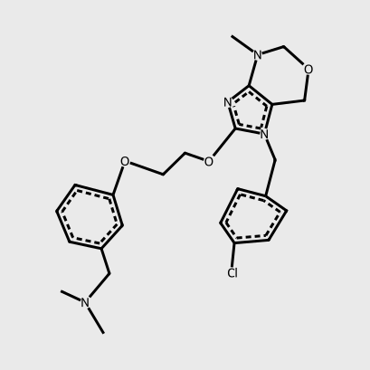 CN(C)Cc1cccc(OCCOc2nc3c(n2Cc2ccc(Cl)cc2)COCN3C)c1